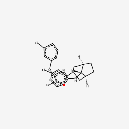 CC(C)n1nc(N[C@@H]2[C@@H]3CC[C@H]2CN(c2cc(Cl)ncn2)C3)nc1Oc1cccc(Cl)c1